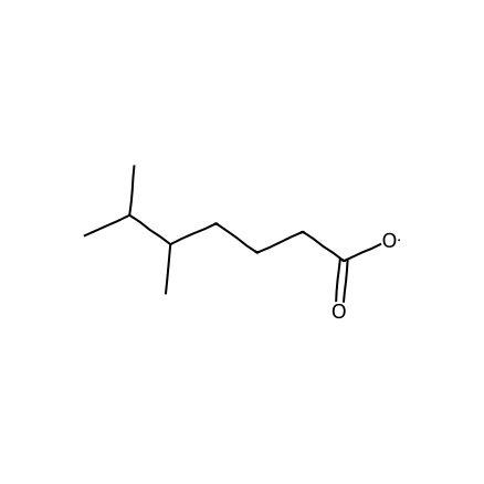 CC(C)C(C)CCCC([O])=O